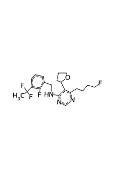 CC(F)(F)c1cccc(CNc2ncnc(CCCCF)c2C2CCCO2)c1F